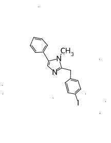 Cn1c(-c2ccccc2)cnc1Cc1ccc(I)cc1